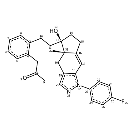 CC(=O)Cc1ccccc1CC[C@]1(O)CCC2=Cc3c(cnn3-c3ccc(F)cc3)C[C@@]21C